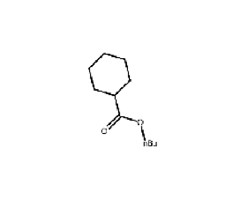 CCC[CH]OC(=O)C1CCCCC1